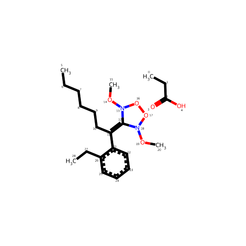 CCC(=O)O.CCCCCCC(=C1N(OC)OON1OC)c1ccccc1CC